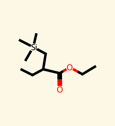 CCOC(=O)C(CC)C[Si](C)(C)C